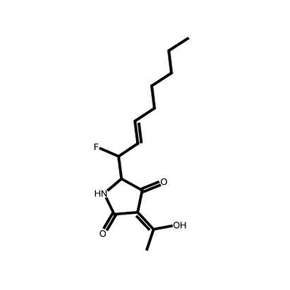 CCCCC/C=C/C(F)C1NC(=O)/C(=C(\C)O)C1=O